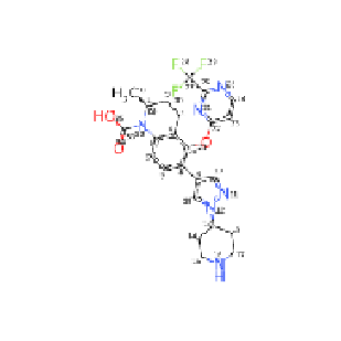 C[C@H]1CCc2c(ccc(-c3cnn(C4CCNCC4)c3)c2Oc2ccnc(C(F)(F)F)n2)N1C(=O)O